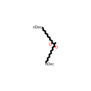 [CH2]C(C(=O)CCCCCCCCCCCCCCCCCCC)C(=O)CCCCCCCCCCCCCCCCCCC